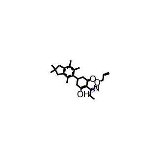 C=CCO/N=C(/CC)C1=C(O)CC(c2c(C)c(C)c3c(c2C)CC(C)(C)C3)CC1=O